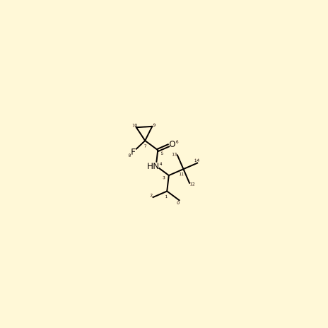 CC(C)C(NC(=O)C1(F)CC1)C(C)(C)C